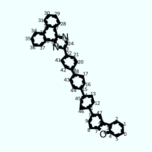 c1ccc2c(c1)oc1ccc(-c3ccc(-c4ccc(-c5ccc(-c6cnc7c8ccccc8c8ccccc8c7n6)cc5)cc4)cc3)cc12